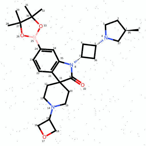 C[C@@H]1CCN([C@H]2C[C@@H](N3C(=O)C4(CCN(C5COC5)CC4)c4ccc(B5OC(C)(C)C(C)(C)O5)cc43)C2)C1